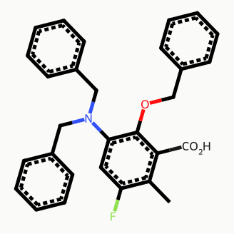 Cc1c(F)cc(N(Cc2ccccc2)Cc2ccccc2)c(OCc2ccccc2)c1C(=O)O